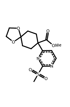 COC(=O)C1(c2ccnc(S(C)(=O)=O)n2)CCC2(CC1)OCCO2